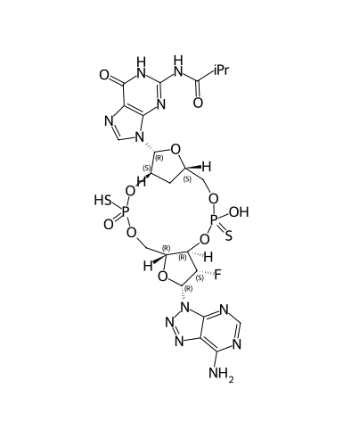 CC(C)C(=O)Nc1nc2c(ncn2[C@@H]2O[C@@H]3COP(O)(=S)O[C@H]4[C@H](F)[C@H](n5nnc6c(N)ncnc65)O[C@@H]4COP(=O)(S)O[C@H]2C3)c(=O)[nH]1